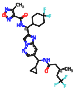 Cc1nonc1C(=O)N[C@H](c1cn2ncc(C(NC(=O)C[C@@H](C)CC(F)(F)F)C3CC3)cc2n1)C1CCC(F)(F)CC1